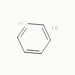 I.c1cc[siH]cc1